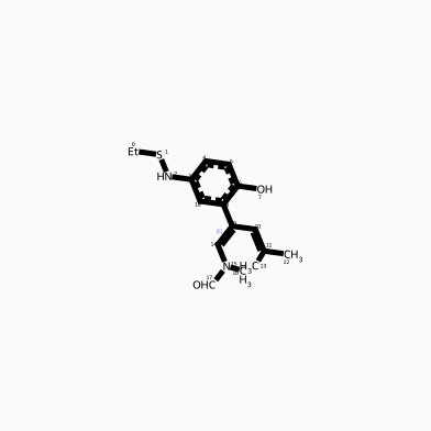 CCSNc1ccc(O)c(/C(C=C(C)C)=C/N(C)C=O)c1